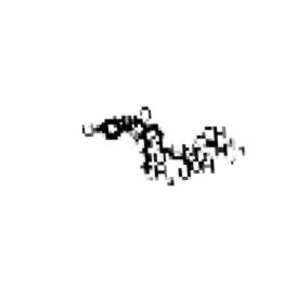 CCCCC1c2nc(-c3ccc(Cl)cc3)[nH]c(=O)c2CCN1C(=O)CC[C@@H](NC(=O)OC(C)(C)C)C(=O)O